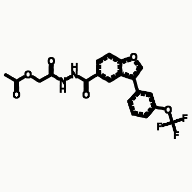 CC(=O)OCC(=O)NNC(=O)c1ccc2occ(-c3cccc(OC(F)(F)F)c3)c2c1